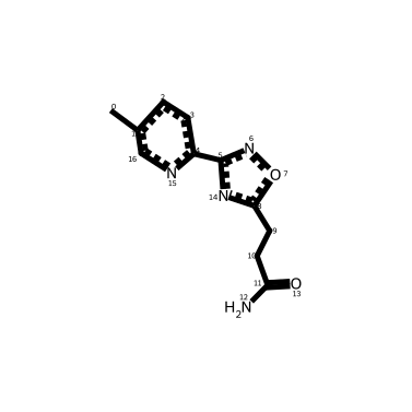 Cc1ccc(-c2noc(CCC(N)=O)n2)nc1